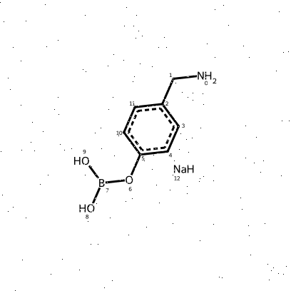 NCc1ccc(OB(O)O)cc1.[NaH]